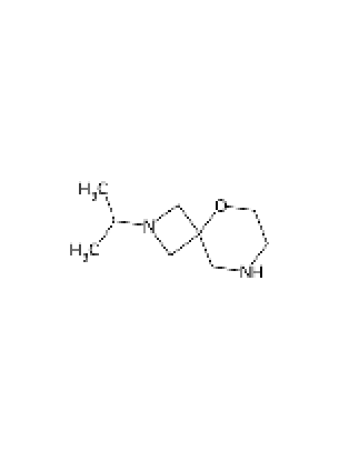 CC(C)N1CC2(CNCCO2)C1